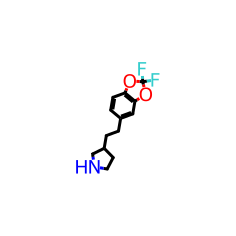 FC1(F)Oc2ccc(CCC3CCNC3)cc2O1